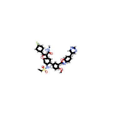 CCS(=O)(=O)Nc1cc2oc(-c3ccc(F)cc3)c(C(=O)NC)c2cc1-c1ccc(OC)c(-c2nc3ccc(-c4cncnc4)cc3o2)c1